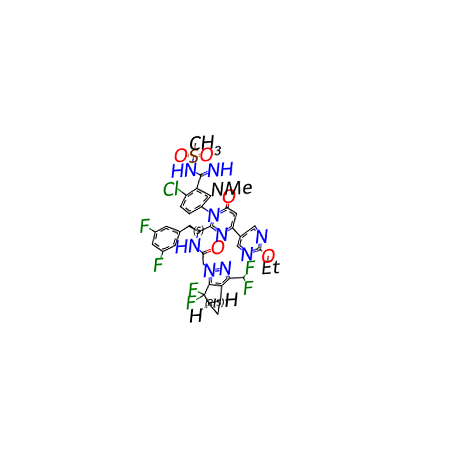 CCOc1ncc(-c2cc(=O)n(-c3ccc(Cl)c(C(=N)NS(C)(=O)=O)c3NC)c([C@H](Cc3cc(F)cc(F)c3)NC(=O)Cn3nc(C(F)F)c4c3C(F)(F)[C@@H]3C[C@H]43)n2)cn1